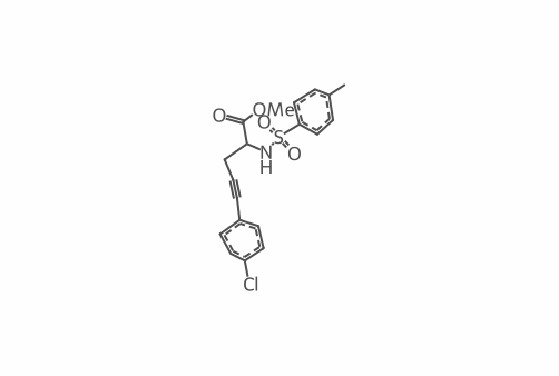 COC(=O)C(CC#Cc1ccc(Cl)cc1)NS(=O)(=O)c1ccc(C)cc1